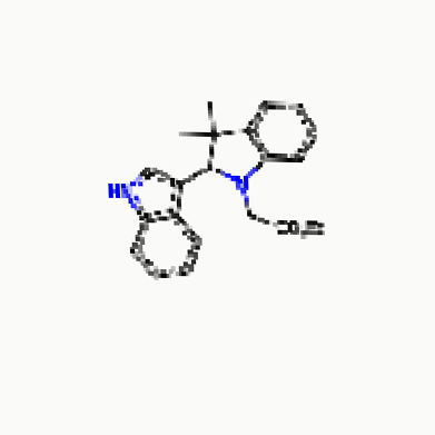 CCOC(=O)CN1c2ccccc2C(C)(C)C1c1c[nH]c2ccccc12